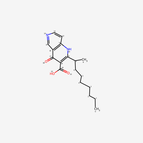 CCCCCCCC(C)c1[nH]c2ccncc2c(=O)c1C(=O)O